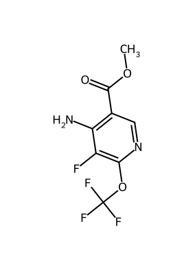 COC(=O)c1cnc(OC(F)(F)F)c(F)c1N